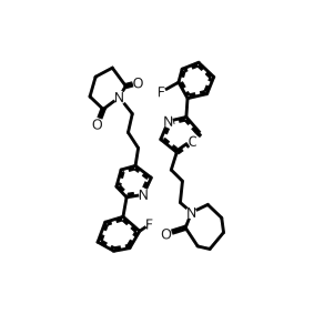 O=C1CCCC(=O)N1CCCc1ccc(-c2ccccc2F)nc1.O=C1CCCCCN1CCCc1ccc(-c2ccccc2F)nc1